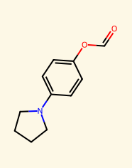 O=COc1ccc(N2CCCC2)cc1